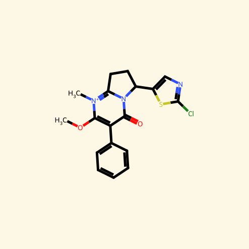 COc1c(-c2ccccc2)c(=O)n2c([n+]1C)CCC2c1cnc(Cl)s1